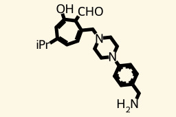 CC(C)C1=CC=C(CN2CCN(c3ccc(CN)cc3)CC2)C(C=O)C(O)=C1